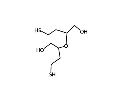 OCC(CCS)OC(CO)CCS